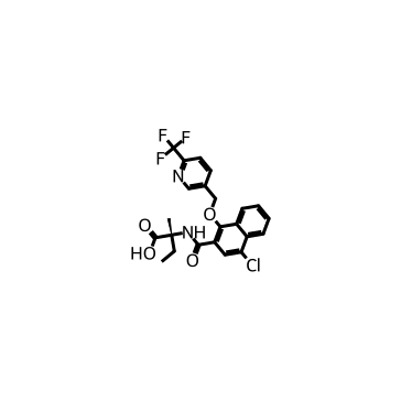 CC[C@@](C)(NC(=O)c1cc(Cl)c2ccccc2c1OCc1ccc(C(F)(F)F)nc1)C(=O)O